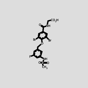 CS(=O)(=O)Nc1cc(F)cc(COc2c(Br)cc(C(=O)NCC(=O)O)cc2Br)c1